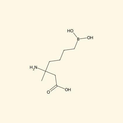 CC(N)(CCCCB(O)O)CC(=O)O